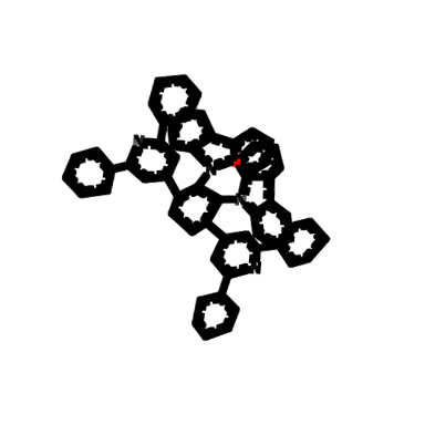 c1ccc(-c2cc(-c3ccc(-c4cc(-c5ccccc5)nc(-c5ccccc5)c4)c(-n4c5ccccc5c5ccccc54)c3-n3c4ccccc4c4ccccc43)cc(-c3ccccc3)n2)cc1